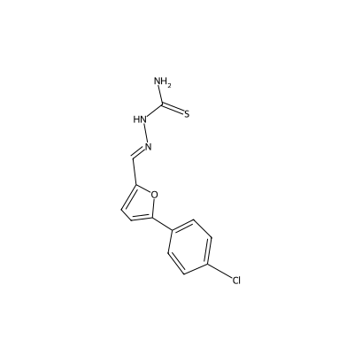 NC(=S)NN=Cc1ccc(-c2ccc(Cl)cc2)o1